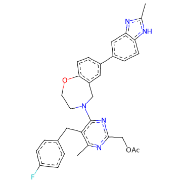 CC(=O)OCc1nc(C)c(Cc2ccc(F)cc2)c(N2CCOc3ccc(-c4ccc5[nH]c(C)nc5c4)cc3C2)n1